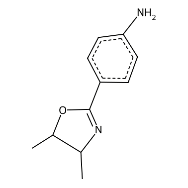 CC1N=C(c2ccc(N)cc2)OC1C